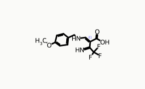 COc1ccc(CN/C=C(\C(=N)C(F)(F)F)C(=O)O)cc1